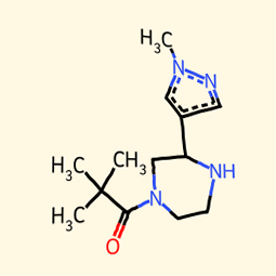 Cn1cc(C2CN(C(=O)C(C)(C)C)CCN2)cn1